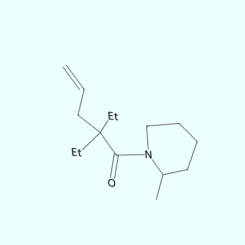 C=CCC(CC)(CC)C(=O)N1CCCCC1C